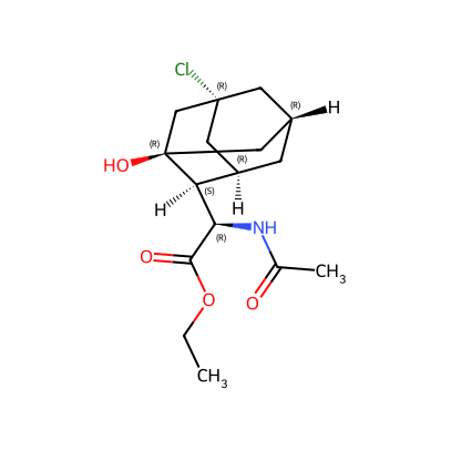 CCOC(=O)[C@H](NC(C)=O)[C@@H]1[C@@H]2C[C@H]3C[C@@](Cl)(C2)C[C@]1(O)C3